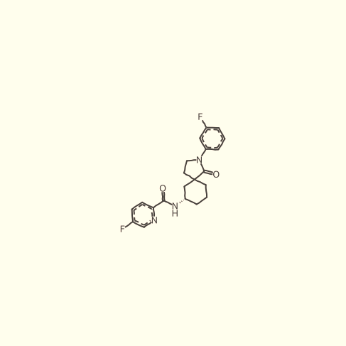 O=C(N[C@H]1CCCC2(CCN(c3cccc(F)c3)C2=O)C1)c1ccc(F)cn1